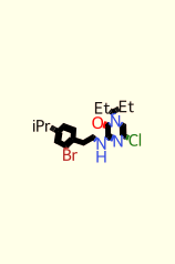 CCC(CC)n1cc(Cl)nc(NCCc2ccc(C(C)C)cc2Br)c1=O